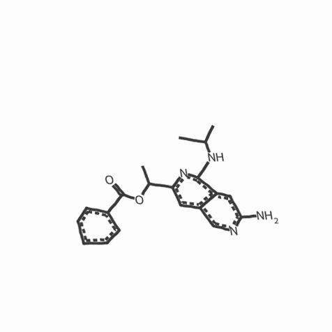 CC(C)Nc1nc(C(C)OC(=O)c2ccccc2)cc2cnc(N)cc12